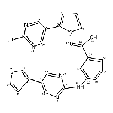 Fc1ncc(-c2cccs2)cn1.O=C(O)c1cccc(Nc2ncc(-c3ccsc3)cn2)c1